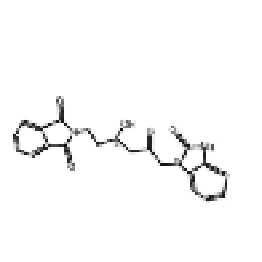 O=C(C[C@H](O)CCN1C(=O)c2ccccc2C1=O)C[C@H]1C(=O)Nc2ccccc21